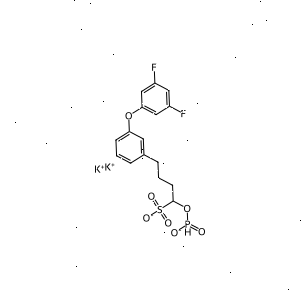 O=[PH]([O-])OC(CCCc1cccc(Oc2cc(F)cc(F)c2)c1)S(=O)(=O)[O-].[K+].[K+]